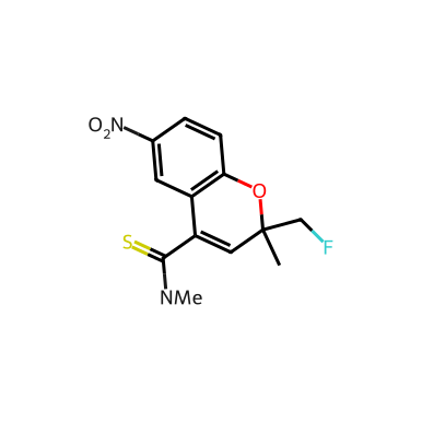 CNC(=S)C1=CC(C)(CF)Oc2ccc([N+](=O)[O-])cc21